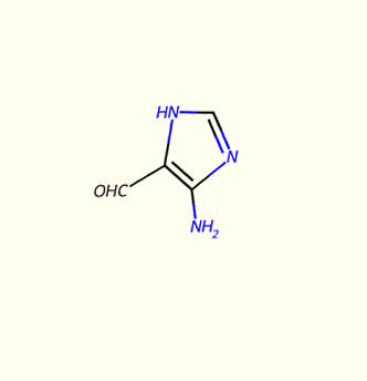 Nc1nc[nH]c1C=O